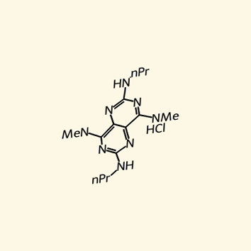 CCCNc1nc(NC)c2nc(NCCC)nc(NC)c2n1.Cl